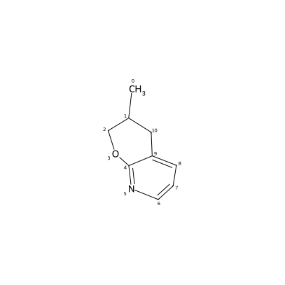 CC1COc2ncccc2C1